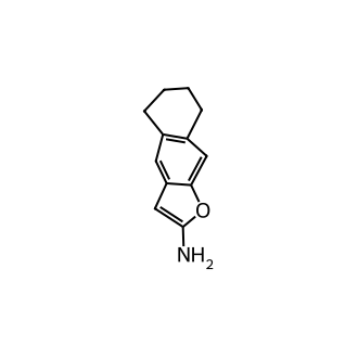 Nc1cc2cc3c(cc2o1)CCCC3